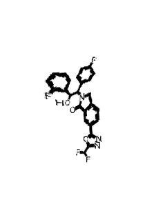 O=C1c2cc(-c3nnc(C(F)F)o3)ccc2CN1C(c1ccc(F)cc1)C(O)c1ccccc1F